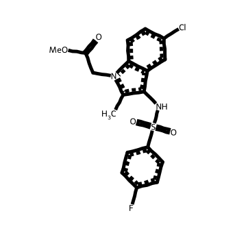 COC(=O)Cn1c(C)c(NS(=O)(=O)c2ccc(F)cc2)c2cc(Cl)ccc21